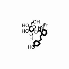 CC(C)n1nc(O[C@@H]2O[C@H](CO)[C@@H](O)[C@H](O)[C@H]2O)c2c(CCc3ccc(O)cc3)cccc21